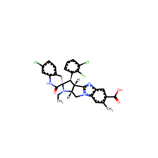 CCN1[C@H]2Cn3c(nc4cc(C(=O)O)c(C)cc43)[C@H]2[C@H](c2cccc(Cl)c2F)[C@@]12Cc1ccc(Cl)cc1NC2=O